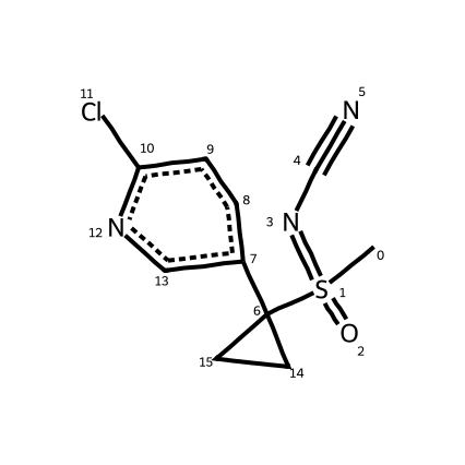 CS(=O)(=NC#N)C1(c2ccc(Cl)nc2)CC1